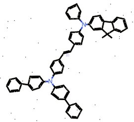 CC1(C)c2ccccc2-c2ccc(N(c3ccccc3)c3ccc(/C=C/c4ccc(N(c5ccc(-c6ccccc6)cc5)c5ccc(-c6ccccc6)cc5)cc4)cc3)cc21